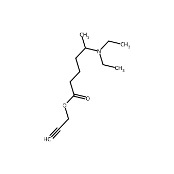 C#CCOC(=O)CCCC(C)N(CC)CC